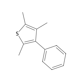 Cc1sc(C)c(-c2ccccc2)c1C